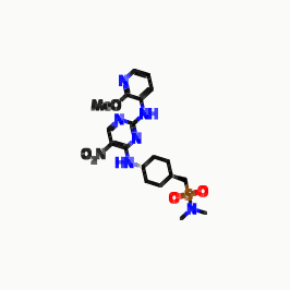 COc1ncccc1Nc1ncc([N+](=O)[O-])c(N[C@H]2CC[C@H](CS(=O)(=O)N(C)C)CC2)n1